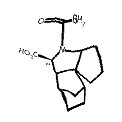 BC(=O)N1C2CCCC23C2CCC(C2)C3[C@H]1C(=O)O